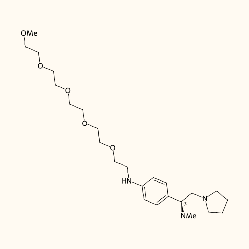 CN[C@H](CN1CCCC1)c1ccc(NCCOCCOCCOCCOCCOC)cc1